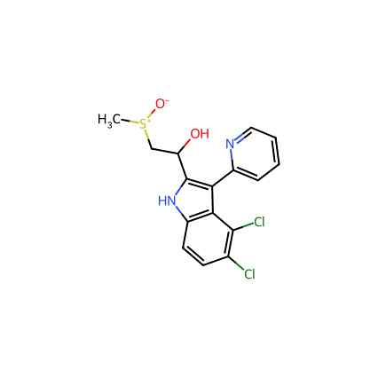 C[S+]([O-])CC(O)c1[nH]c2ccc(Cl)c(Cl)c2c1-c1ccccn1